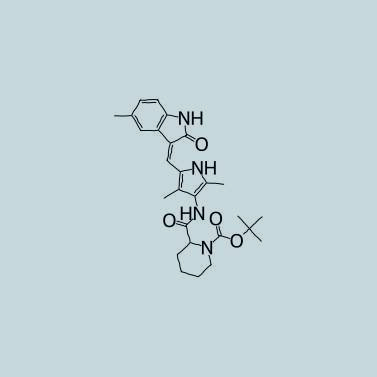 Cc1ccc2c(c1)/C(=C/c1[nH]c(C)c(NC(=O)C3CCCCN3C(=O)OC(C)(C)C)c1C)C(=O)N2